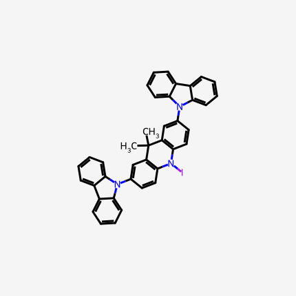 CC1(C)c2cc(-n3c4ccccc4c4ccccc43)ccc2N(I)c2ccc(-n3c4ccccc4c4ccccc43)cc21